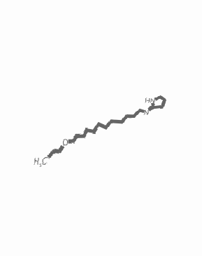 CCCOCCCCCCCCCCCCN=C1CCCN1